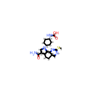 CSc1ncc2c(n1)-c1c(c(C(N)=O)cn1[C@H]1CC[C@@H](NC(=O)O)CC1)CC2